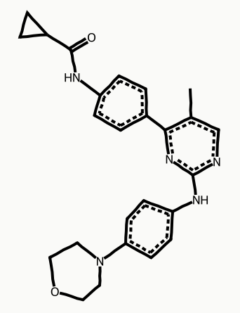 Cc1cnc(Nc2ccc(N3CCOCC3)cc2)nc1-c1ccc(NC(=O)C2CC2)cc1